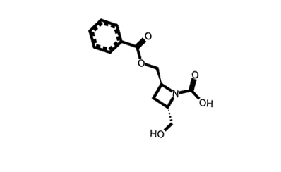 O=C(OC[C@@H]1C[C@@H](CO)N1C(=O)O)c1ccccc1